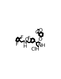 Cl.O=C(Cc1cc([C@@H]2CCNC[C@H]2COc2ccc3c(c2)OCO3)ccc1F)NCCc1c(F)cccc1F